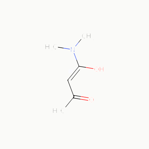 CC(=O)/C=C(\O)N(C)C